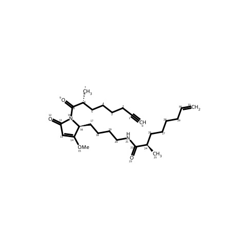 C#CCCCC[C@@H](C)C(=O)N1C(=O)C=C(OC)[C@@H]1CCCCNC(=O)[C@H](C)CCCCC=C